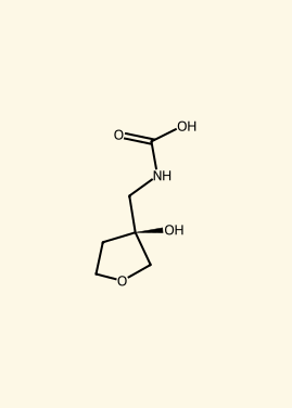 O=C(O)NC[C@@]1(O)CCOC1